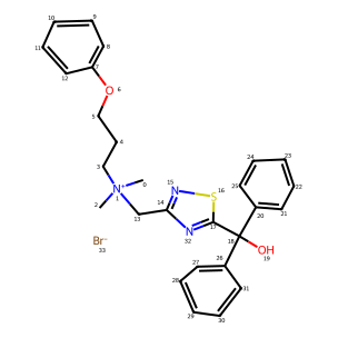 C[N+](C)(CCCOc1ccccc1)Cc1nsc(C(O)(c2ccccc2)c2ccccc2)n1.[Br-]